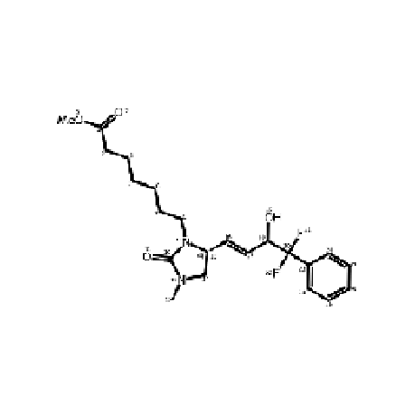 COC(=O)CCCCCCN1C(=O)N(C)C[C@@H]1C=CC(O)C(F)(F)c1ccccc1